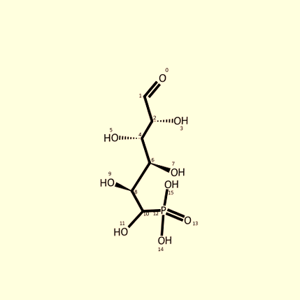 O=C[C@H](O)[C@@H](O)[C@@H](O)[C@H](O)C(O)P(=O)(O)O